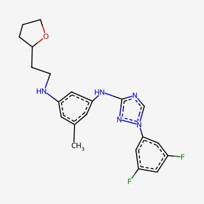 Cc1cc(NCCC2CCCO2)cc(Nc2ncn(-c3cc(F)cc(F)c3)n2)c1